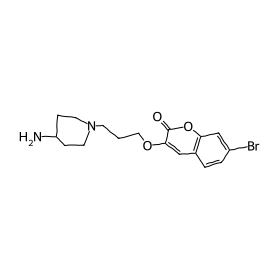 NC1CCN(CCCOc2cc3ccc(Br)cc3oc2=O)CC1